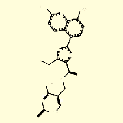 C=C(/N=C(OC)\C(=C/C)CNC(=O)c1nc(-c2ccc(OC)c3nc(C(F)(F)F)ccc23)oc1CN)OC